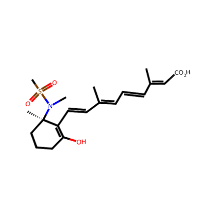 CC(/C=C/C1=C(O)CCC[C@@]1(C)N(C)S(C)(=O)=O)=C\C=C\C(C)=C\C(=O)O